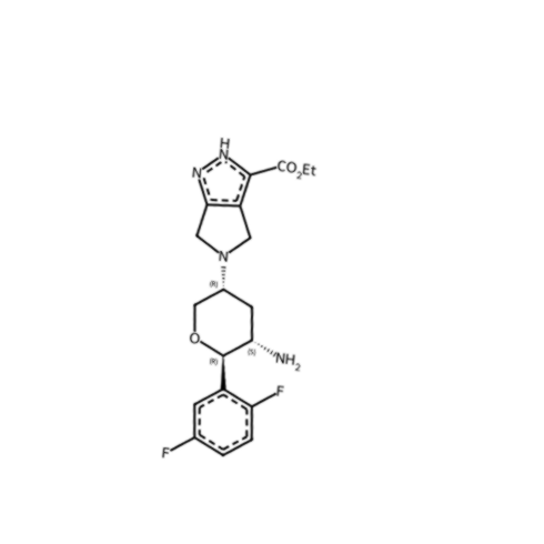 CCOC(=O)c1[nH]nc2c1CN([C@H]1CO[C@H](c3cc(F)ccc3F)[C@@H](N)C1)C2